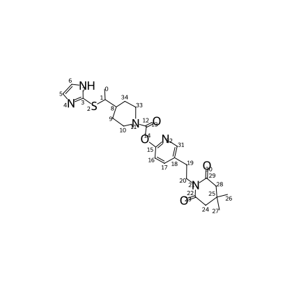 CC(Sc1ncc[nH]1)C1CCN(C(=O)Oc2ccc(CCN3C(=O)CC(C)(C)CC3=O)cn2)CC1